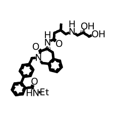 CCNC(=O)c1ccccc1-c1ccc(CN2Cc3ccccc3C[C@@H](NC(=O)CC(C)CNC[C@H](O)CO)C2=O)cc1